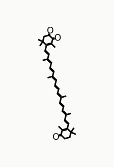 CC1=C(/C=C/C(C)=C/C=C/C(C)=C/C=C/C=C(C)/C=C/C=C(C)/C=C/C2=C(C)C(=O)C(=O)CC2(C)C)C(C)(C)CCC1=O